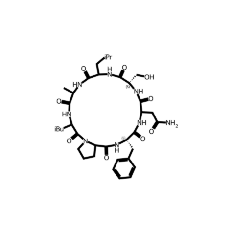 CCC(C)C1NC(=O)C(C)NC(=O)C(CC(C)C)NC(=O)[C@H](CO)NC(=O)C(CC(N)=O)NC(=O)[C@H](Cc2ccccc2)NC(=O)C2CCCN2C1=O